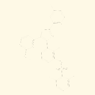 Cc1ccnc(-c2nc(-c3cccc(NS(=O)(=O)c4c(F)cccc4F)c3F)c(-c3ccnc(N)n3)s2)c1